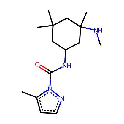 CNC1(C)CC(NC(=O)n2nccc2C)CC(C)(C)C1